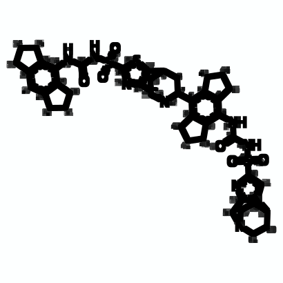 O=C(Nc1c2c(c(C3CC4CCN3Cc3nc(S(=O)(=O)NC(=O)Nc5c6c(cc7c5CCC7)CCC6)sc34)c3c1CCC3)CCC2)NS(=O)(=O)c1cn2c(n1)CN1CCC2CC1